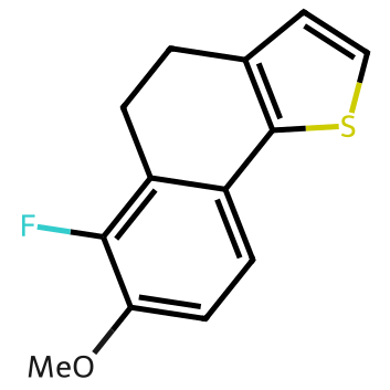 COc1ccc2c(c1F)CCc1ccsc1-2